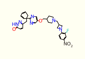 O=c1ccc(CC2(c3ncc(OCC4CCN(CC5CN(c6ccc([N+](=O)[O-])cc6F)C5)CC4)cn3)C=CC=CC2)n[nH]1